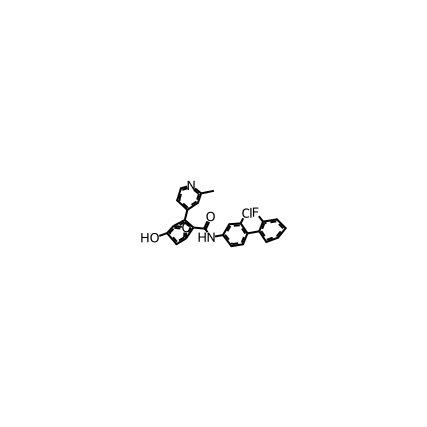 Cc1cc(-c2c(C(=O)Nc3ccc(-c4ccccc4F)c(Cl)c3)c3cc(O)c2o3)ccn1